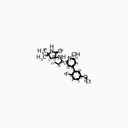 CCOc1ccc(F)c(-c2ccnc([C@@H]3CC[C@@]4(CC(C)(C)NC4=O)N3)c2)c1.Cl